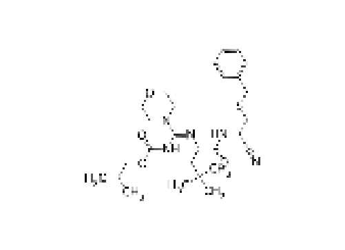 CC(C)COC(=O)NC(=NC(CC(C)(C)C)C(=O)NC(C#N)CSCc1ccccc1)N1CCOCC1